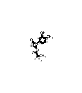 C=C(C)C(=O)OC1NC(=O)N1c1ccc(C)c(O)c1